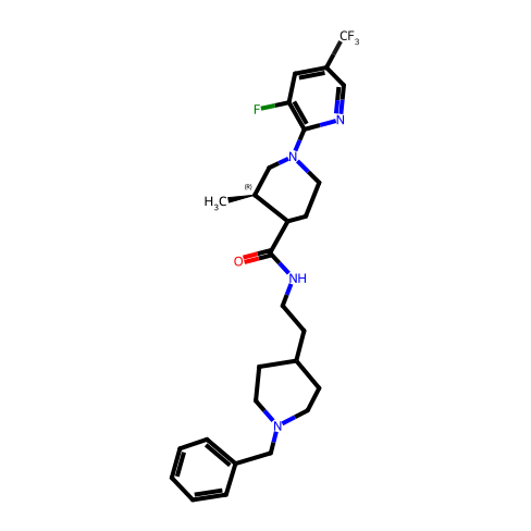 C[C@H]1CN(c2ncc(C(F)(F)F)cc2F)CCC1C(=O)NCCC1CCN(Cc2ccccc2)CC1